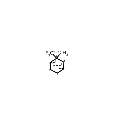 CC1(C(F)(F)F)CC2CCC1CC2